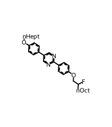 CCCCCCCCC(F)COc1ccc(-c2ncc(-c3ccc(OCCCCCCC)cc3)cn2)cc1